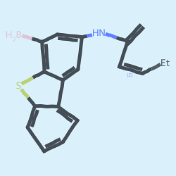 Bc1cc(NC(=C)/C=C\CC)cc2c1sc1ccccc12